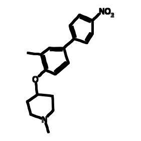 Cc1cc(-c2ccc([N+](=O)[O-])cc2)ccc1OC1CCN(C)CC1